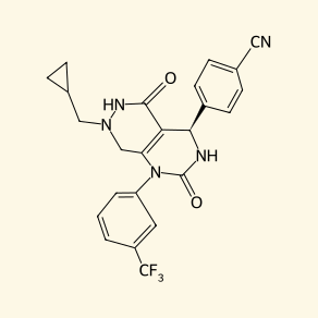 N#Cc1ccc([C@H]2NC(=O)N(c3cccc(C(F)(F)F)c3)C3=C2C(=O)NN(CC2CC2)C3)cc1